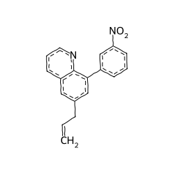 C=CCc1cc(-c2cccc([N+](=O)[O-])c2)c2ncccc2c1